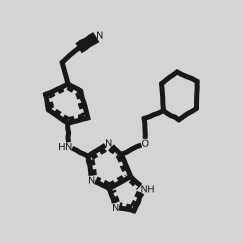 N#CCc1ccc(Nc2nc(OCC3CCCCC3)c3[nH]cnc3n2)cc1